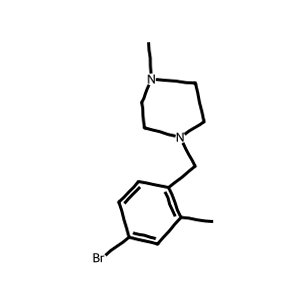 Cc1cc(Br)ccc1CN1CCN(C)CC1